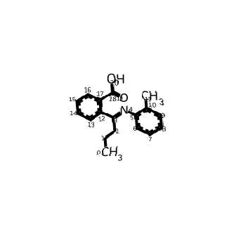 CCC/C(=N\c1ccccc1C)c1ccccc1C(=O)O